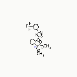 CO/C=C(\C(=O)OC)c1ccccc1Oc1nc(-c2cccc(C(F)(F)F)c2)ns1